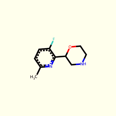 Cc1ccc(F)c(C2CNCCO2)n1